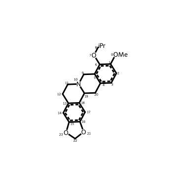 COc1ccc2c(c1OC(C)C)CN1CCc3cc4c(cc3C1C2)OCO4